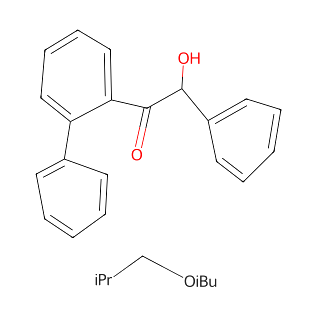 CC(C)COCC(C)C.O=C(c1ccccc1-c1ccccc1)C(O)c1ccccc1